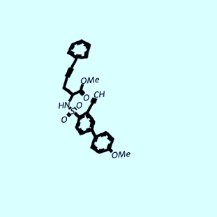 C#Cc1cc(-c2ccc(OC)cc2)ccc1S(=O)(=O)NC(CC#Cc1ccccc1)C(=O)OC